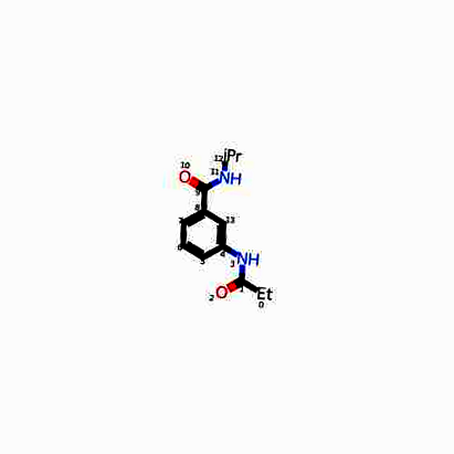 CCC(=O)Nc1cccc(C(=O)NC(C)C)c1